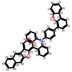 c1ccc(N(c2ccc(-c3cccc4c3oc3ccccc34)cc2)c2ccccc2-c2cccc3c2oc2cc4ccccc4cc23)cc1